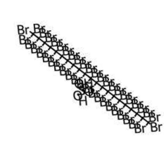 BrC(Br)(Br)C(Br)(Br)C(Br)(Br)C(Br)(Br)C(Br)(Br)C(Br)(Br)C(Br)(Br)C(Br)(Br)C(Br)(Br)C(Br)(Br)C(Br)(Br)C(Br)(Br)C(Br)(Br)C(Br)(Br)C(Br)(Br)C(Br)(Br)C(Br)(Br)C(Br)(Br)C(Br)(Br)C(Br)(Br)C(Br)(Br)Br.O=[SH](=O)O